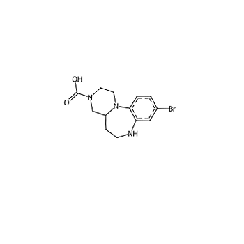 O=C(O)N1CCN2c3ccc(Br)cc3NCCC2C1